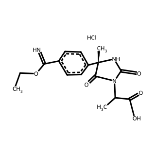 CCOC(=N)c1ccc([C@]2(C)NC(=O)N(C(C)C(=O)O)C2=O)cc1.Cl